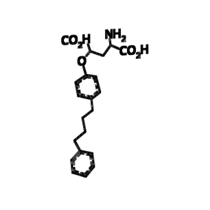 NC(CC(Oc1ccc(CCCCc2ccccc2)cc1)C(=O)O)C(=O)O